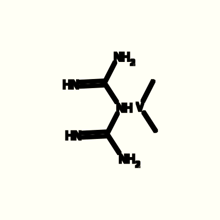 N=C(N)NC(=N)N.[CH3][V][CH3]